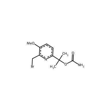 COc1ccc(C(C)(C)OC(N)=O)nc1CBr